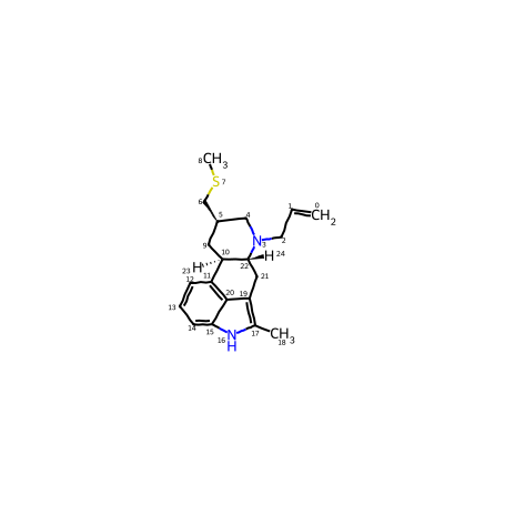 C=CCN1C[C@H](CSC)C[C@@H]2c3cccc4[nH]c(C)c(c34)C[C@H]21